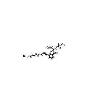 CNC(=O)CCC(C=O)N1Cc2c(C#CCCCCCCCCC(=O)O)cccc2C1=O